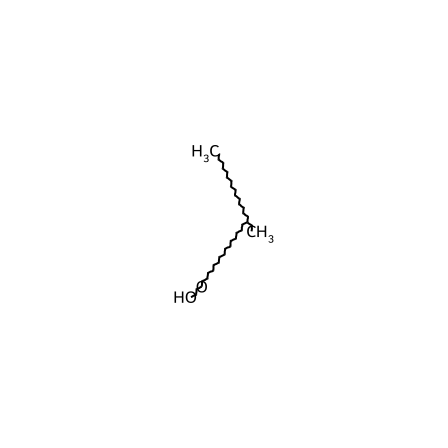 CCCCCCCCCCCCCCCCC(CC)CCCCCCCCCCCCCCCOCCO